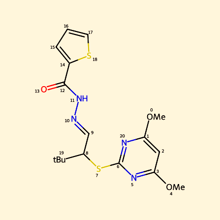 COc1cc(OC)nc(SC(C=NNC(=O)c2cccs2)C(C)(C)C)n1